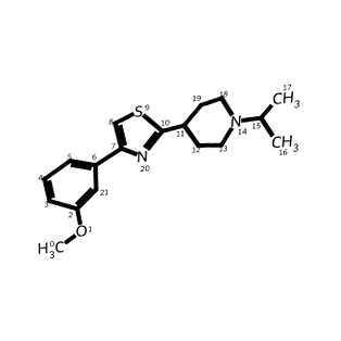 COc1cccc(-c2csc(C3CCN(C(C)C)CC3)n2)c1